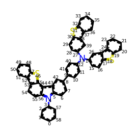 c1ccc(-n2c3ccc(-c4ccc(N(c5ccc6sc7ccccc7c6c5)c5ccc6sc7ccccc7c6c5)cc4)cc3c3c4sc5ccccc5c4ccc32)cc1